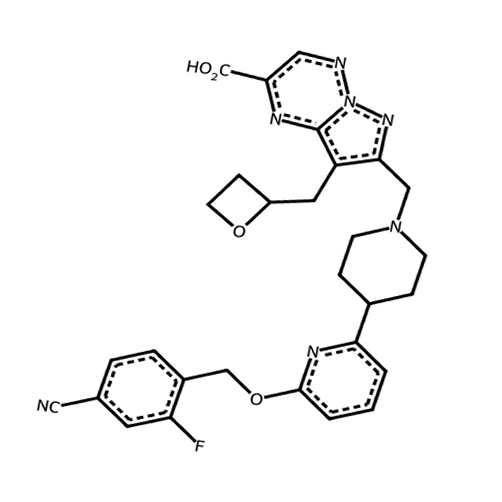 N#Cc1ccc(COc2cccc(C3CCN(Cc4nn5ncc(C(=O)O)nc5c4CC4CCO4)CC3)n2)c(F)c1